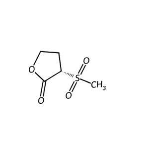 CS(=O)(=O)[C@H]1CCOC1=O